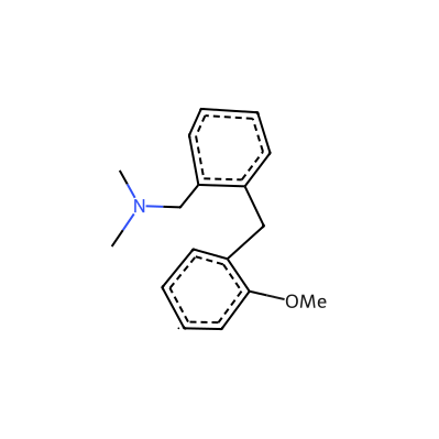 COc1c[c]ccc1Cc1ccccc1CN(C)C